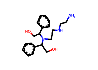 NCCNCCN(C(CO)c1ccccc1)C(CO)c1ccccc1